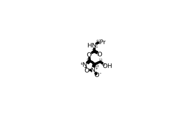 CC(C)NC(=O)Oc1no[n+]([O-])c1CO